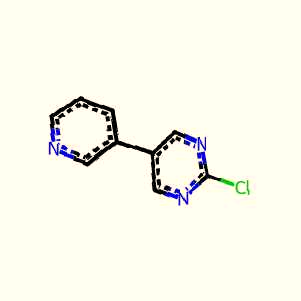 Clc1ncc(-c2cccnc2)cn1